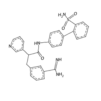 N=C(N)c1cccc(CC(C(=O)Nc2ccc(-c3ccccc3S(N)(=O)=O)cc2)c2cccnc2)c1